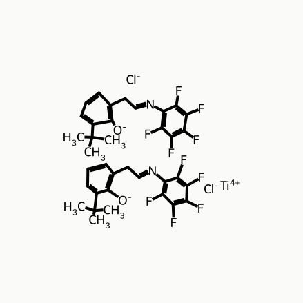 CC(C)(C)c1cccc(CC=Nc2c(F)c(F)c(F)c(F)c2F)c1[O-].CC(C)(C)c1cccc(CC=Nc2c(F)c(F)c(F)c(F)c2F)c1[O-].[Cl-].[Cl-].[Ti+4]